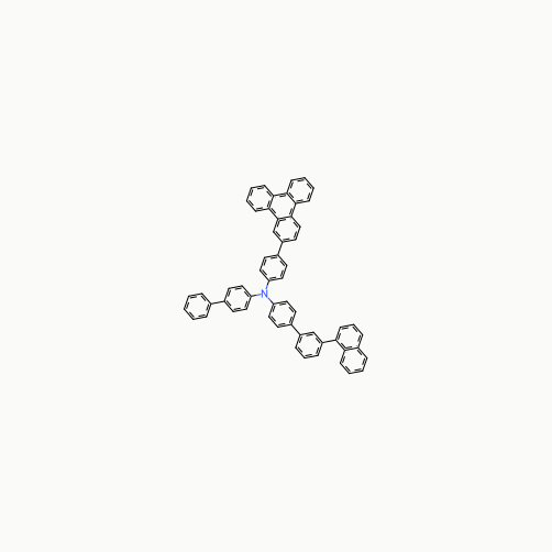 c1ccc(-c2ccc(N(c3ccc(-c4cccc(-c5cccc6ccccc56)c4)cc3)c3ccc(-c4ccc5c6ccccc6c6ccccc6c5c4)cc3)cc2)cc1